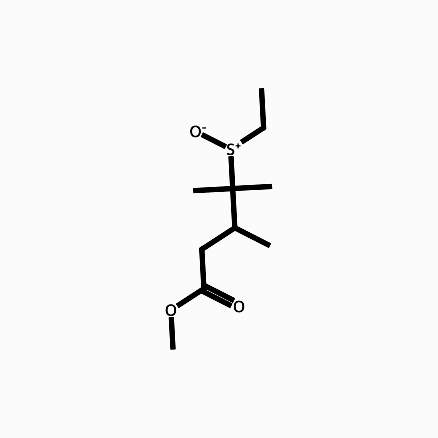 CC[S+]([O-])C(C)(C)C(C)CC(=O)OC